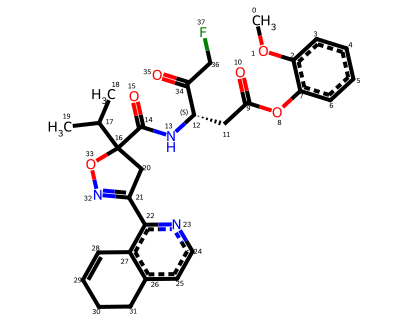 COc1ccccc1OC(=O)C[C@H](NC(=O)C1(C(C)C)CC(c2nccc3c2C=CCC3)=NO1)C(=O)CF